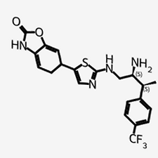 C[C@@H](c1ccc(C(F)(F)F)cc1)[C@H](N)CNc1ncc(C2C=c3oc(=O)[nH]c3=CC2)s1